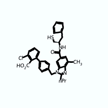 CCCc1nc2c(C)cc(C(=O)N[C@@H](CS)Cc3ccccc3)cc2n1Cc1ccc(-c2cccc(Cl)c2C(=O)O)cc1